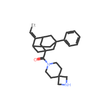 CCC=C1C2CC3(C(=O)N4CCC5(CC4)CNC5)CC1CC(c1ccccc1)(C2)C3